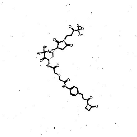 CC(=O)C1(C(=O)CCN2C(=O)CC(SC[C@H](NC(=O)COCC(=O)Nc3ccc(CCC(=O)N4CCC4=O)cc3)C(=O)C(C(C)=O)(C(C)=O)C(C)=O)C2=O)SS1